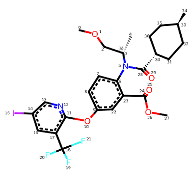 COC[C@H](C)N(c1ccc(Oc2ncc(I)cc2C(F)(F)F)cc1C(=O)OC)C(=O)[C@H]1CC[C@H](C)CC1